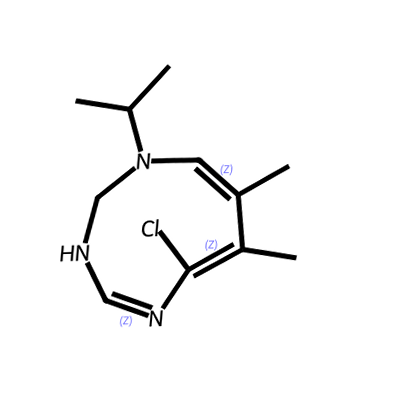 CC1=C\N(C(C)C)CN\C=N/C(Cl)=C/1C